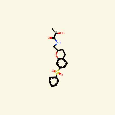 C[C@@H](O)C(=O)NCC1CCc2ccc(S(=O)(=O)c3ccccc3)cc2O1